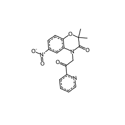 CC1(C)Oc2ccc([N+](=O)[O-])cc2N(CC(=O)c2ccccn2)C1=O